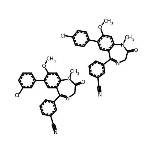 COc1cc2c(cc1-c1ccc(Cl)cc1)C(c1cccc(C#N)c1)=NCC(=O)N2C.COc1cc2c(cc1-c1cccc(Cl)c1)C(c1cccc(C#N)c1)=NCC(=O)N2C